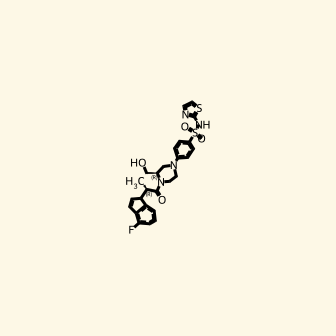 C[C@@H](C(=O)N1CCN(c2ccc(S(=O)(=O)Nc3nccs3)cc2)C[C@@H]1CO)C1C=Cc2c(F)cccc21